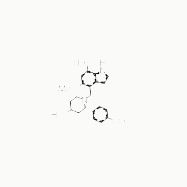 COc1cc(C)c2[nH]ccc2c1CN1CCC(C)C[C@H]1c1ccc(C(=O)O)cc1